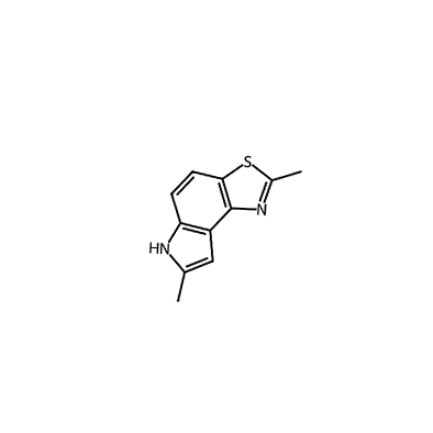 Cc1cc2c(ccc3sc(C)nc32)[nH]1